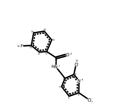 O=C(Nc1ccc(Cl)nc1Cl)c1cccc(F)c1